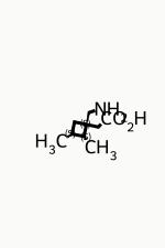 C[C@H]1C[C@](CN)(CC(=O)O)[C@H]1C